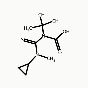 CN(C(=S)N(C(=O)O)C(C)(C)C)C1CC1